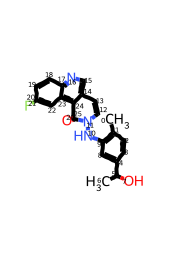 Cc1ccc(C(C)O)cc1Nn1ccc2cnc3ccc(F)cc3c2c1=O